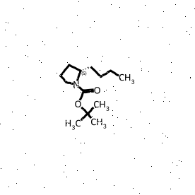 CCCC[C@H]1CCCN1C(=O)OC(C)(C)C